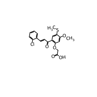 COc1cc(OCC(=O)O)c(C(=O)/C=C/c2ccccc2Cl)cc1SC